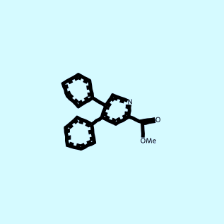 COC(=O)c1cc(-c2ccccc2)c(-c2ccccc2)cn1